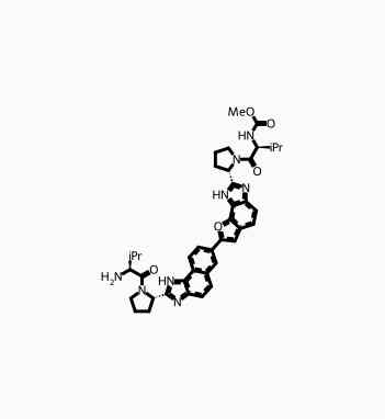 COC(=O)N[C@H](C(=O)N1CCC[C@H]1c1nc2ccc3cc(-c4ccc5c(ccc6nc([C@@H]7CCCN7C(=O)[C@@H](N)C(C)C)[nH]c65)c4)oc3c2[nH]1)C(C)C